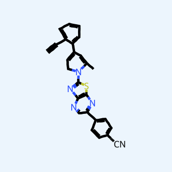 C#Cc1ccccc1C1=CCN(c2nc3ncc(-c4ccc(C#N)cc4)nc3s2)C(C)=C1